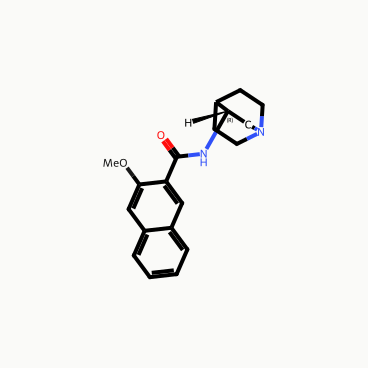 COc1cc2ccccc2cc1C(=O)N[C@H]1CN2CCC1CC2